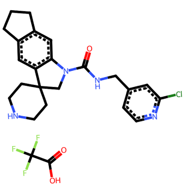 O=C(NCc1ccnc(Cl)c1)N1CC2(CCNCC2)c2cc3c(cc21)CCC3.O=C(O)C(F)(F)F